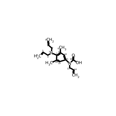 C=CCN(CC=C)c1c(C)cc(N(CC=C)C(=O)O)cc1C